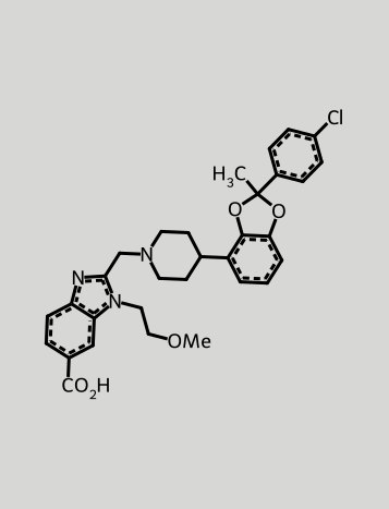 COCCn1c(CN2CCC(c3cccc4c3OC(C)(c3ccc(Cl)cc3)O4)CC2)nc2ccc(C(=O)O)cc21